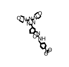 O=[N+]([O-])c1ccc(CNc2nc3cc(-c4nc(N5CCOCC5)nc(N5CCOCC5)n4)ccc3o2)cc1